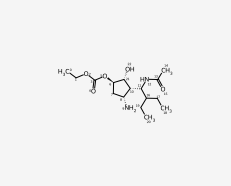 CCOC(=O)O[C@@H]1C[C@@H](N)[C@@H](C(NC(C)=O)C(CC)CC)[C@H]1O